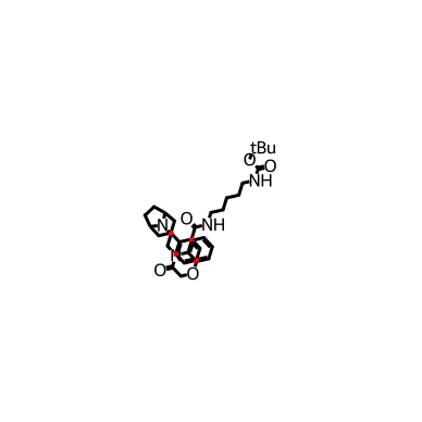 CC(C)(C)OC(=O)NCCCCCNC(=O)c1ccccc1C1CC2CCC(C1)N2CCN1C(=O)COc2ccccc21